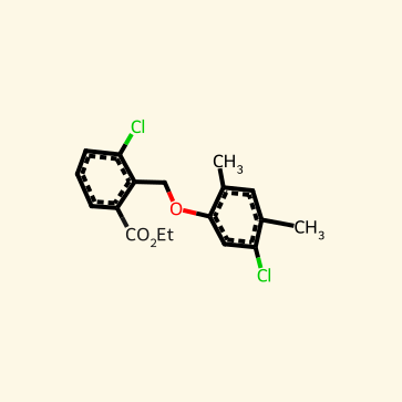 CCOC(=O)c1cccc(Cl)c1COc1cc(Cl)c(C)cc1C